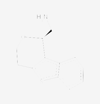 NC[C@@H]1OCCc2sc3ccccc3c21